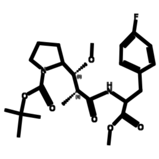 COC(=O)C(Cc1ccc(F)cc1)NC(=O)[C@H](C)[C@@H](OC)C1CCCN1C(=O)OC(C)(C)C